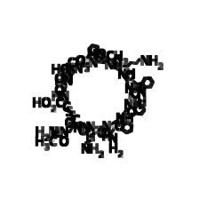 C[C@H](N)C(=O)NCC(=O)N[C@H]1CSSC[C@@H](C(=O)O)NC(=O)[C@H](CO)NC(=O)[C@H]([C@@H](C)O)NC(=O)[C@H](Cc2ccccc2)NC(=O)[C@H]([C@@H](C)O)NC(=O)[C@H](CCCCCN)NC(=O)[C@H](Cc2c[nH]c3ccccc23)NC(=O)[C@H](Cc2ccccc2)NC(=O)[C@H](Cc2ccccc2)NC(=O)[C@H](CC(N)=O)NC(=O)[C@H](CCCCN)NC1=O